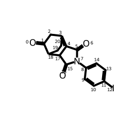 O=C1CC2=C3C(=O)N(c4ccc(I)cc4)C(=O)C3C1CC2